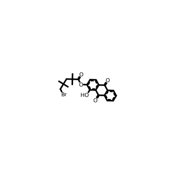 CC(C)(CBr)CC(C)(C)C(=O)Oc1ccc2c(c1O)C(=O)c1ccccc1C2=O